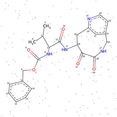 CC(C)C(NC(=O)OCc1ccccc1)C(=O)NC1Cc2cc(ccn2)CNC(=O)C1=O